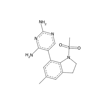 Cc1cc2c(c(-c3cnc(N)nc3N)c1)N(S(C)(=O)=O)CC2